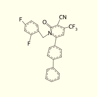 N#Cc1c(C(F)(F)F)cc(-c2ccc(-c3ccccc3)cc2)n(Cc2ccc(F)cc2F)c1=O